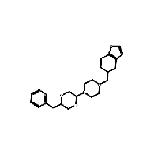 c1ccc(CC2COC(N3CCN(CC4CCc5sccc5C4)CC3)CO2)cc1